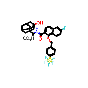 O=C(NC(C(=O)O)C12CC3CC(CC(O)(C3)C1)C2)c1ccc2cc(F)ccc2c1OCc1ccc(S(F)(F)(F)(F)F)cc1